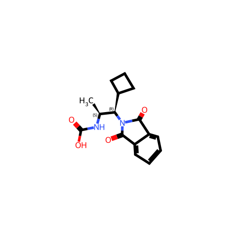 C[C@H](NC(=O)O)[C@@H](C1CCC1)N1C(=O)c2ccccc2C1=O